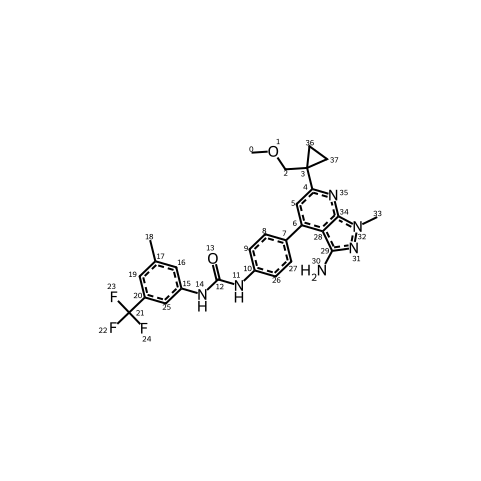 COCC1(c2cc(-c3ccc(NC(=O)Nc4cc(C)cc(C(F)(F)F)c4)cc3)c3c(N)nn(C)c3n2)CC1